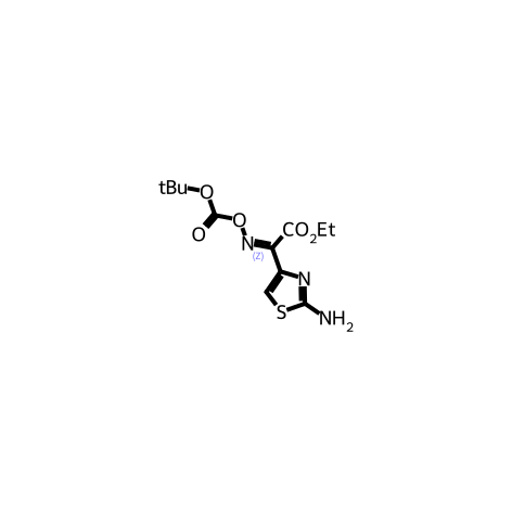 CCOC(=O)/C(=N\OC(=O)OC(C)(C)C)c1csc(N)n1